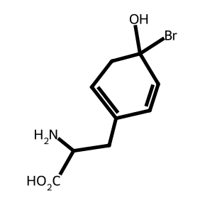 NC(CC1=CCC(O)(Br)C=C1)C(=O)O